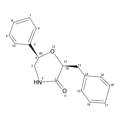 O=C1NC[C@@H](c2ccccc2)O[C@H]1Cc1ccccc1